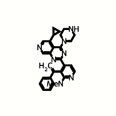 C=C(c1ccccc1)c1c(-c2nc(N3CCNCC3)c3c(C4CC4)cncc3n2)ccnc1NC